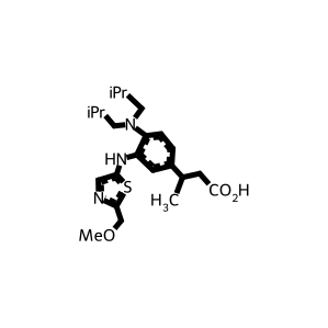 COCc1ncc(Nc2cc(C(C)CC(=O)O)ccc2N(CC(C)C)CC(C)C)s1